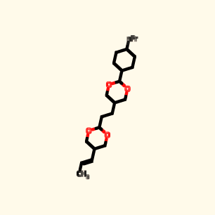 C/C=C/C1COC(CCC2COC(C3CCC(CCC)CC3)OC2)OC1